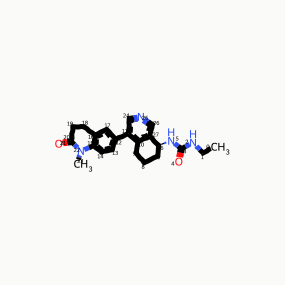 CCNC(=O)N[C@@H]1CCCc2c(-c3ccc4c(c3)CCC(=O)N4C)cncc21